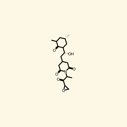 CC1C[C@H](C)CC([C@H](O)CC2CC(=O)N(C(C)C(=O)C3CO3)C(=O)C2)C1=O